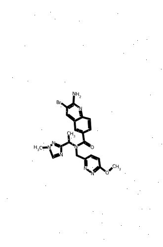 COc1ccc(CN(C(=O)c2ccc3nc(N)c(Br)cc3c2)C(C)c2ncn(C)n2)nn1